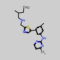 Cc1cc(Nc2nccc(C(F)(F)F)n2)cc(-c2cnc(CNCC(C)CC=O)s2)c1